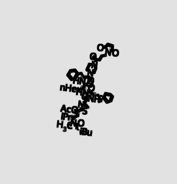 CCCCCC[C@@H](NC(=O)[C@H](CSc1ccccc1)NC(=O)c1csc([C@@H](C[C@H](C(C)C)N(C)C(=O)C[C@@H](C)CC)OC(C)=O)n1)C(=O)N[C@@H](Cc1ccccc1)C(=O)N1CCN(C(=O)CCCN2C(=O)C=CC2=O)CC1